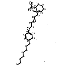 CCCCCCCCc1ccc(OCCOCC[N+]2(C)CCCCC2C(=O)[O-])cc1